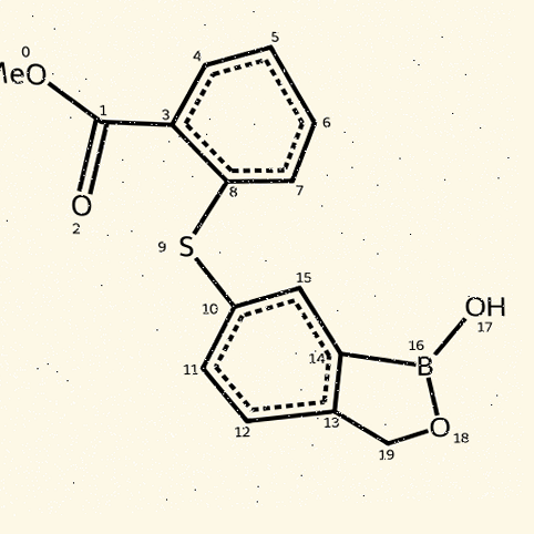 COC(=O)c1ccccc1Sc1ccc2c(c1)B(O)OC2